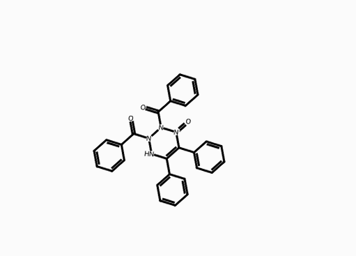 O=C(c1ccccc1)N1NC(c2ccccc2)=C(c2ccccc2)[N+](=O)N1C(=O)c1ccccc1